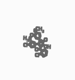 COc1ccc(N2C(=O)C(O)=C(C(=O)c3ccccc3Cl)C2c2ccc(Cl)c(F)c2)cc1OC